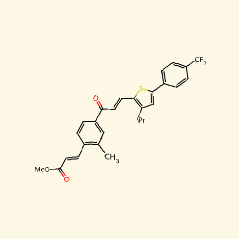 COC(=O)C=Cc1ccc(C(=O)C=Cc2sc(-c3ccc(C(F)(F)F)cc3)cc2C(C)C)cc1C